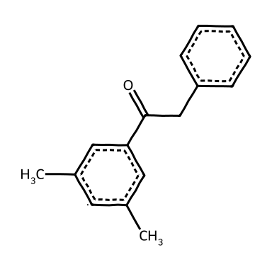 Cc1[c]c(C)cc(C(=O)Cc2ccccc2)c1